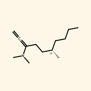 C=C=C(CC[C@@H](C)CCCC)N(C)C